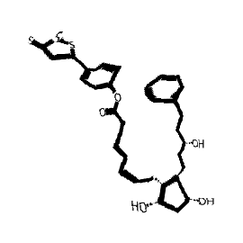 O=C(CCC/C=C\C[C@@H]1[C@@H](CC[C@@H](O)CCc2ccccc2)[C@H](O)C[C@@H]1O)Oc1ccc(-c2cc(=S)ss2)cc1